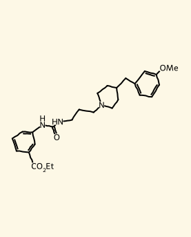 CCOC(=O)c1cccc(NC(=O)NCCCN2CCC(Cc3cccc(OC)c3)CC2)c1